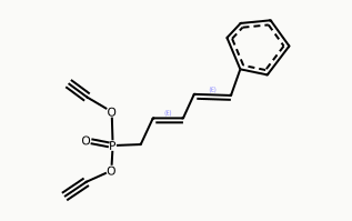 C#COP(=O)(C/C=C/C=C/c1ccccc1)OC#C